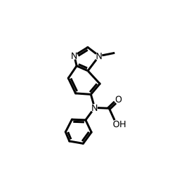 Cn1cnc2ccc(N(C(=O)O)c3ccccc3)cc21